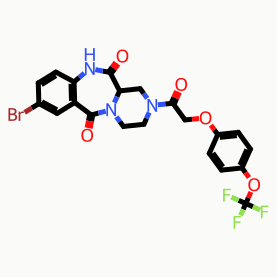 O=C1Nc2ccc(Br)cc2C(=O)N2CCN(C(=O)COc3ccc(OC(F)(F)F)cc3)CC12